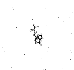 CC(C)C(=O)OCc1c2c3oc1cc3C(=O)O2